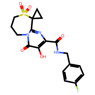 O=C(NCc1ccc(F)cc1)c1nc2n(c(=O)c1O)CCCS(=O)(=O)C21CC1